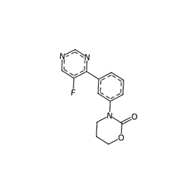 O=C1OCCCN1c1cccc(-c2ncncc2F)c1